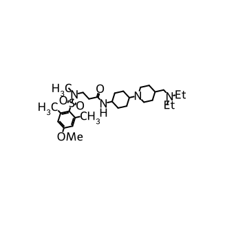 CCN(CC)CC1CCN(C2CCC(NC(=O)CCN(C)S(=O)(=O)c3c(C)cc(OC)cc3C)CC2)CC1